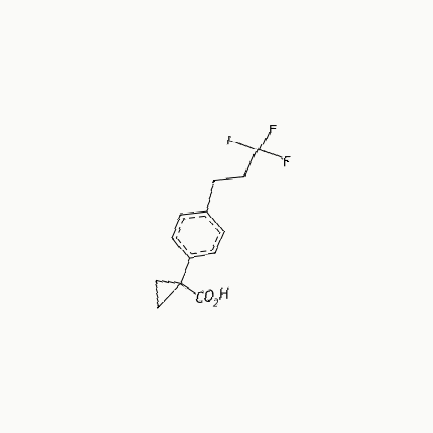 O=C(O)C1(c2ccc(CCC(F)(F)I)cc2)CC1